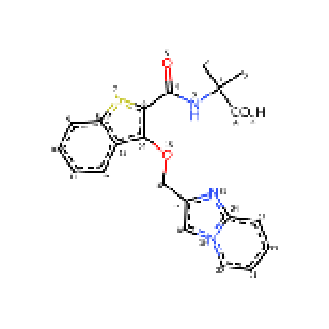 CC(C)(NC(=O)c1sc2ccccc2c1OCc1cn2ccccc2n1)C(=O)O